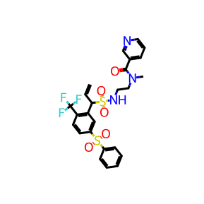 C=CC(c1cc(S(=O)(=O)c2ccccc2)ccc1C(F)(F)F)S(=O)(=O)NCCN(C)C(=O)c1cccnc1